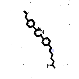 C=CCc1ccc(-c2ccc(-c3ccc(/C=C/CCCC(C)F)cc3)nn2)cc1